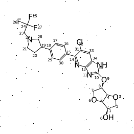 O[C@@H]1COC2C1OC[C@H]2Oc1nc2nc(-c3ccc(C4CCN(CC(F)(F)F)C4)cc3)c(Cl)cc2[nH]1